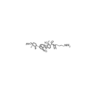 COc1ccc(-c2cnc3c(Nc4ccc(C(=O)NCCCCN)c(C)c4)nccn23)c(F)c1F.Cl